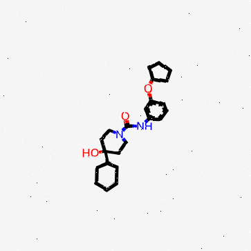 O=C(Nc1cccc(OC2CCCC2)c1)N1CCC(O)(C2CCCCC2)CC1